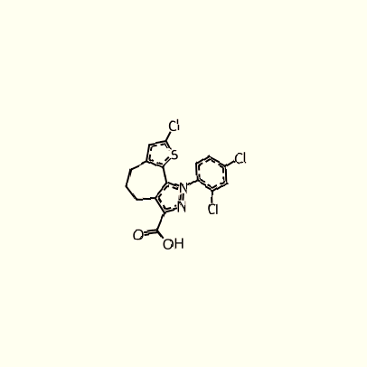 O=C(O)c1nn(-c2ccc(Cl)cc2Cl)c2c1CCCc1cc(Cl)sc1-2